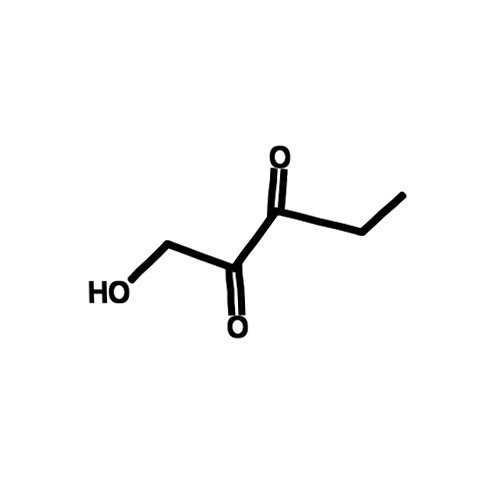 CCC(=O)C(=O)CO